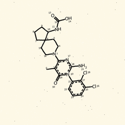 Cc1c(N2CCC3(CCCC3NC(=O)O)CC2)nc(N)n(-c2cccc(Cl)c2Cl)c1=O